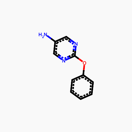 Nc1cnc(Oc2ccccc2)nc1